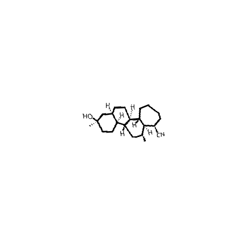 C[C@H]1C[C@H]2[C@@H](CC[C@@H]3C[C@](C)(O)CC[C@@H]32)[C@@H]2CCCC[C@@H](C#N)[C@H]21